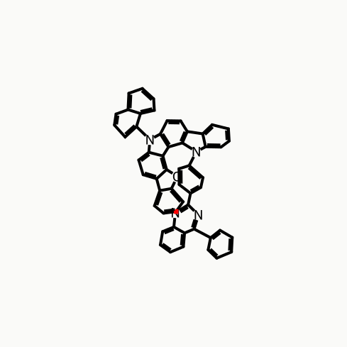 c1ccc(-c2nc(-c3ccc(-n4c5ccccc5c5ccc6c(c7c8oc9ccccc9c8ccc7n6-c6cccc7ccccc67)c54)cc3)nc3ccccc23)cc1